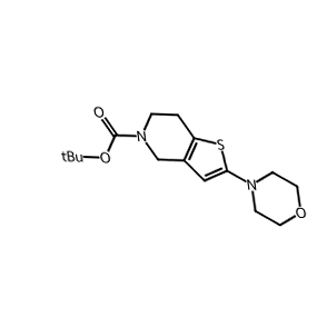 CC(C)(C)OC(=O)N1CCc2sc(N3CCOCC3)cc2C1